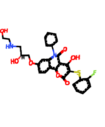 O=c1oc2c(c(O)c1Sc1ccccc1F)c(=O)n(-c1ccccc1)c1cc(OC[C@H](O)CNCCO)ccc21